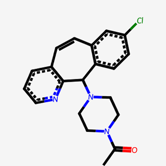 CC(=O)N1CCN(C2c3ccc(Cl)cc3C=Cc3cccnc32)CC1